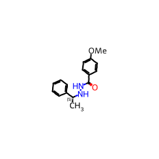 COc1ccc(C(=O)NN[C@@H](C)c2ccccc2)cc1